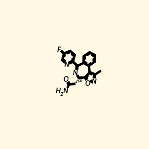 Cc1noc2c1-c1ccccc1C(c1ccc(F)cn1)=N[C@H]2CC(N)=O